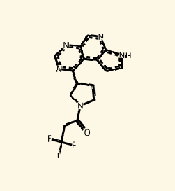 O=C(CC(F)(F)F)N1CCC(c2ncnc3cnc4[nH]ccc4c23)C1